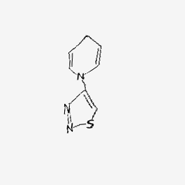 C1=CN(c2csnn2)C=CC1